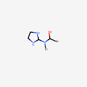 CCN(C1NCCN1)C(O)C(C)C